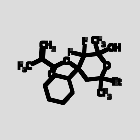 C=C(C(=O)OC1(C2CCCCC2)CC(CC)(C(F)(F)F)OC(O)(C(F)(F)F)C1(F)F)C(F)(F)F